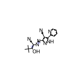 CC(C)(C)/C(O)=C(C#N)/N=N/c1n[nH]c(-c2ccccn2)c1C#N